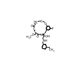 CCc1cccc(CNC[C@@H](O)[C@@H]2Cc3cc(F)cc(c3)OCCCCNC(=O)CCC(COC)C(=O)N2)c1